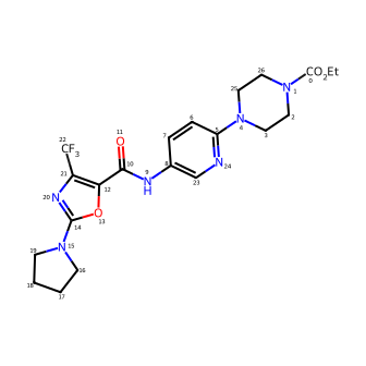 CCOC(=O)N1CCN(c2ccc(NC(=O)c3oc(N4CCCC4)nc3C(F)(F)F)cn2)CC1